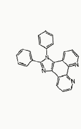 c1ccc(-c2nc3c4cccnc4c4ncccc4c3n2-c2ccccc2)cc1